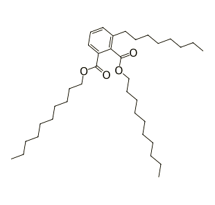 CCCCCCCCCCOC(=O)c1cccc(CCCCCCCC)c1C(=O)OCCCCCCCCCC